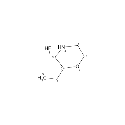 CCC1CNCCO1.F